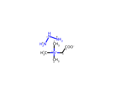 C[N+](C)(C)CC(=O)[O-].NNN